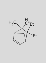 CCC1(CC)C2C=CC(C2)C1(C)C